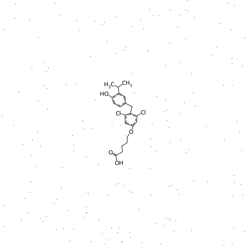 CC(C)c1cc(Cc2c(Cl)cc(OCCCCC(=O)O)cc2Cl)ccc1O